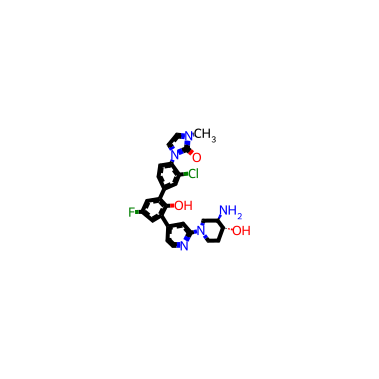 Cn1ccn(-c2ccc(-c3cc(F)cc(-c4ccnc(N5CC[C@@H](O)[C@H](N)C5)c4)c3O)cc2Cl)c1=O